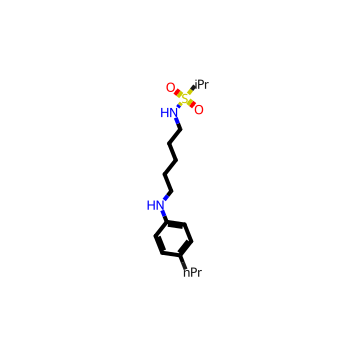 CCCc1ccc(NCCCCCNS(=O)(=O)C(C)C)cc1